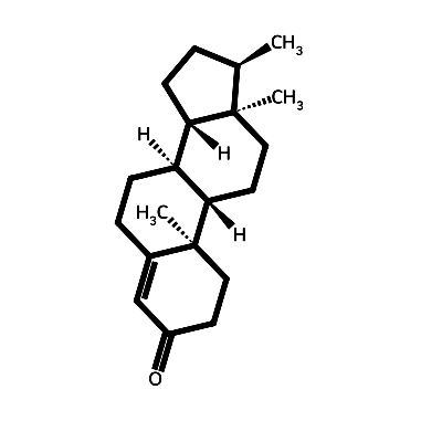 C[C@@H]1CC[C@H]2[C@@H]3CCC4=CC(=O)CC[C@]4(C)[C@H]3CC[C@]12C